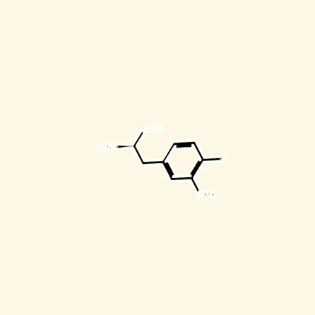 COc1cc(C[C@@H](NC(C)=O)C(=O)O)ccc1F